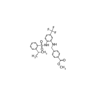 COC(=O)c1ccc(CNc2cc(C(F)(F)F)ccc2NS(=O)(=O)c2ccccc2C(C)C)cc1